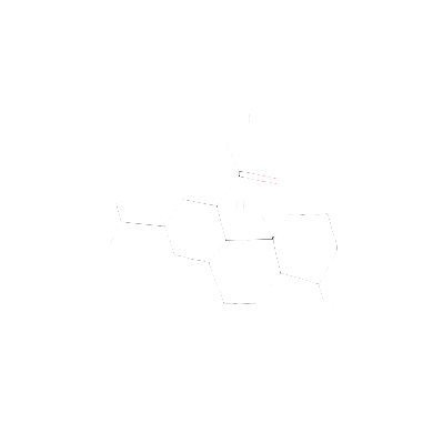 COC(=O)C1CC(C(C)C)CC2CCC3C(C)CCCC3(C)C21